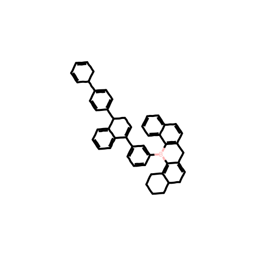 C1=CCC(c2ccc(C3CC=C(c4cccc(B5C6=C7CCCCC7CC=C6Cc6ccc7ccccc7c65)c4)c4ccccc43)cc2)C=C1